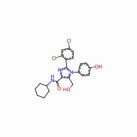 O=C(NC1CCCCC1)c1nc(-c2ccc(Cl)cc2Cl)n(-c2ccc(O)cc2)c1CO